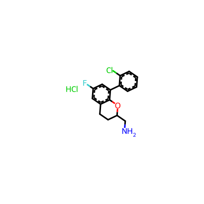 Cl.NCC1CCc2cc(F)cc(-c3ccccc3Cl)c2O1